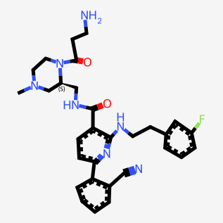 CN1CCN(C(=O)CCN)[C@@H](CNC(=O)c2ccc(-c3ccccc3C#N)nc2NCCc2cccc(F)c2)C1